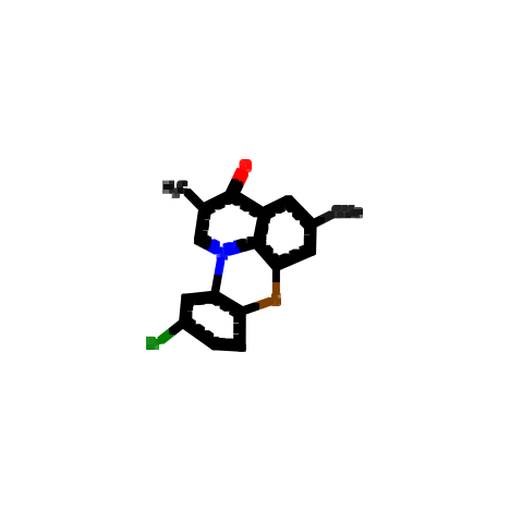 COc1cc2c3c(c1)c(=O)c(C)cn3-c1cc(Br)ccc1S2